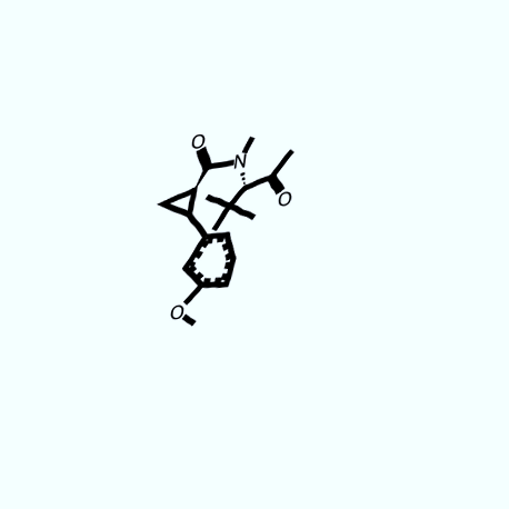 COc1cccc(C2C[C@H]2C(=O)N(C)[C@H](C(C)=O)C(C)(C)C)c1